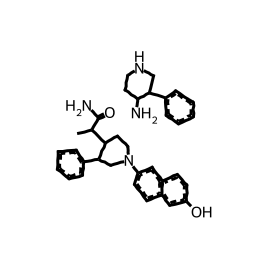 CC(C(N)=O)C1CCN(c2ccc3cc(O)ccc3c2)CC1c1ccccc1.NC1CCNCC1c1ccccc1